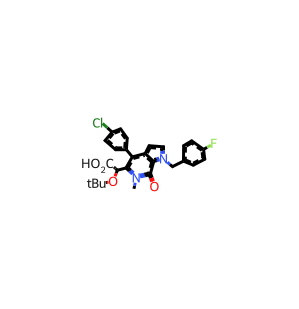 Cn1c(C(OC(C)(C)C)C(=O)O)c(-c2ccc(Cl)cc2)c2ccn(Cc3ccc(F)cc3)c2c1=O